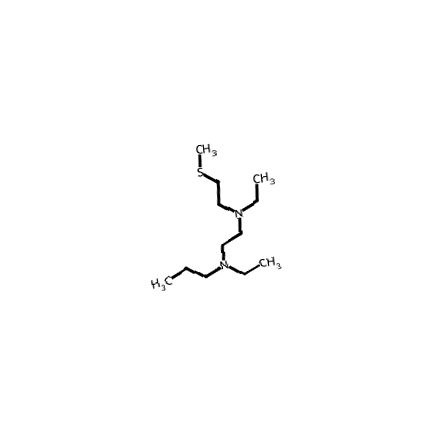 CCCN(CC)CCN(CC)CCSC